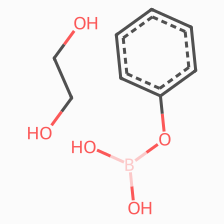 OB(O)Oc1ccccc1.OCCO